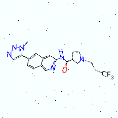 Cn1nncc1-c1ccc2cnc(NC(=O)[C@H]3CCN(CCC(F)(F)F)C3)cc2c1